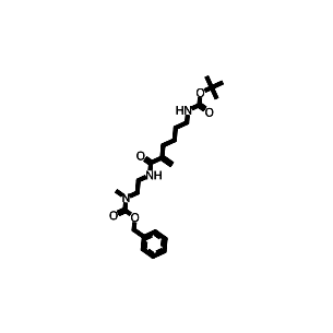 C=C(CCCCNC(=O)OC(C)(C)C)C(=O)NCCN(C)C(=O)OCc1ccccc1